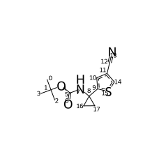 CC(C)(C)OC(=O)NC1(c2cc(C#N)cs2)CC1